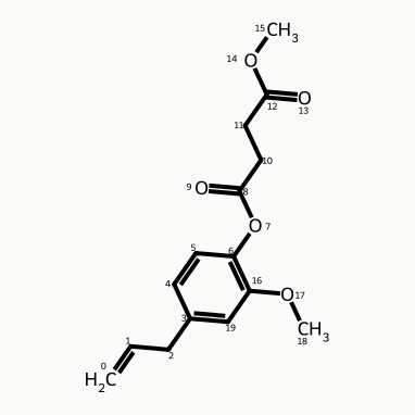 C=CCc1ccc(OC(=O)CCC(=O)OC)c(OC)c1